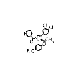 C[C@@H](Oc1ccc(C(F)(F)F)cc1)[C@@H]1CN(C(=O)c2cccnc2)C[C@H]1c1ccc(Cl)c(Cl)c1